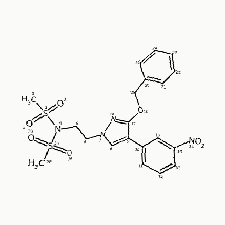 CS(=O)(=O)N(CCn1cc(-c2cccc([N+](=O)[O-])c2)c(OCc2ccccc2)n1)S(C)(=O)=O